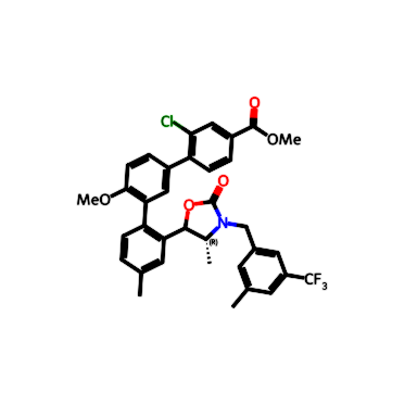 COC(=O)c1ccc(-c2ccc(OC)c(-c3ccc(C)cc3C3OC(=O)N(Cc4cc(C)cc(C(F)(F)F)c4)[C@@H]3C)c2)c(Cl)c1